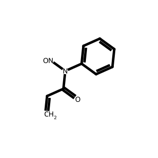 C=CC(=O)N(N=O)c1ccccc1